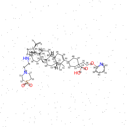 C=C(C)[C@@H]1CC[C@]2(NCCN3CCS(=O)(=O)CC3)CC[C@]3(C)[C@H](CC[C@@H]4[C@@]5(C)CC=C(C6CCC(CCOc7ccccn7)(C(=O)O)CC6)C(C)(C)[C@@H]5CC[C@]43C)[C@@H]12